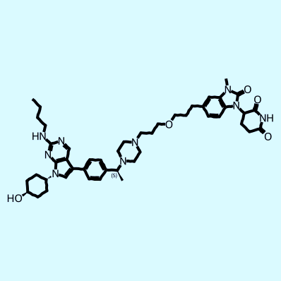 CCCCNc1ncc2c(-c3ccc([C@H](C)N4CCN(CCCOCCCc5ccc6c(c5)n(C)c(=O)n6C5CCC(=O)NC5=O)CC4)cc3)cn([C@H]3CC[C@H](O)CC3)c2n1